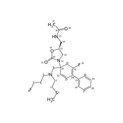 CSCCN(CCCF)CC1(N2C[C@H](CNC(C)=O)OC2=O)C=CC(c2ccccc2)=C(F)C1